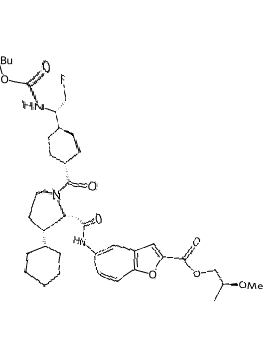 CO[C@@H](C)COC(=O)c1cc2cc(NC(=O)[C@@H]3[C@H](C4CCCCC4)CCN3C(=O)[C@H]3CC[C@H]([C@@H](CF)NC(=O)OC(C)(C)C)CC3)ccc2o1